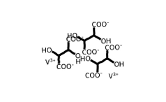 O=C([O-])C(O)C(O)C(=O)[O-].O=C([O-])C(O)C(O)C(=O)[O-].O=C([O-])C(O)C(O)C(=O)[O-].[V+3].[V+3]